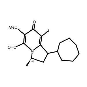 COc1c(C=O)n2c(c(I)c1=O)C(C1CCCCCC1)C[C@H]2C